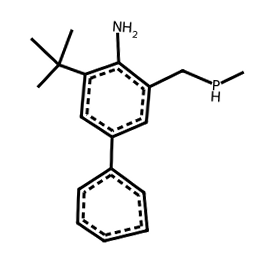 CPCc1cc(-c2ccccc2)cc(C(C)(C)C)c1N